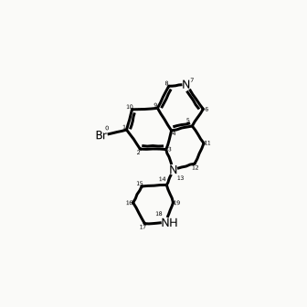 Brc1cc2c3c(cncc3c1)CCN2C1CCCNC1